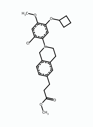 COC(=O)CCc1ccc2c(c1)CCN(c1cc(OC3CCC3)c(OC)cc1Cl)C2